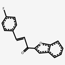 O=C(C=Cc1ccc(F)cc1)c1cc2ccccc2o1